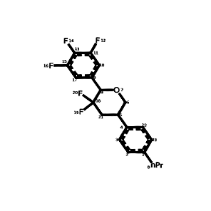 CCCc1ccc(C2COC(c3cc(F)c(F)c(F)c3)C(F)(F)C2)cc1